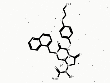 CCCN(C(=O)NC)N1CC(=O)N2[C@@H](Cc3ccc(OCCO)cc3)C(=O)N(Cc3cccc4ccccc34)C[C@@H]21